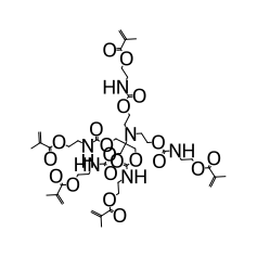 C=C(C)C(=O)OCCNC(=O)OCCN(CCOC(=O)NCCOC(=O)C(=C)C)C(COC(=O)NCCOC(=O)C(=C)C)(COC(=O)NCCOC(=O)C(=C)C)COC(=O)NCCOC(=O)C(=C)C